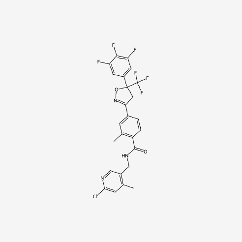 Cc1cc(Cl)ncc1CNC(=O)c1ccc(C2=NOC(c3cc(F)c(F)c(F)c3)(C(F)(F)F)C2)cc1C